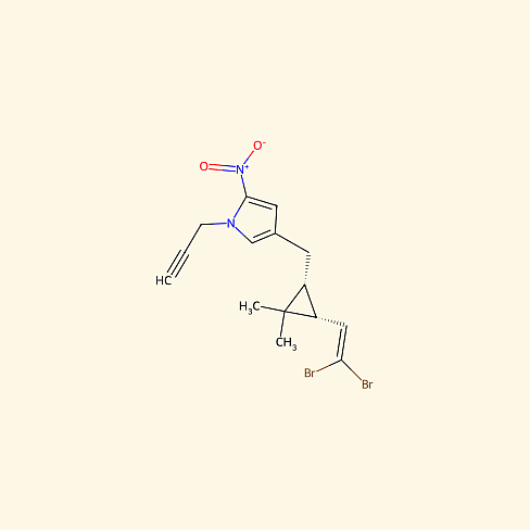 C#CCn1cc(C[C@@H]2[C@H](C=C(Br)Br)C2(C)C)cc1[N+](=O)[O-]